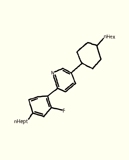 CCCCCCCc1ccc(-c2ccc(C3CCC(CCCCCC)CC3)cn2)c(F)c1